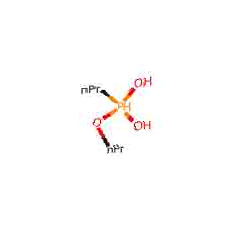 CCCO[PH](O)(O)CCC